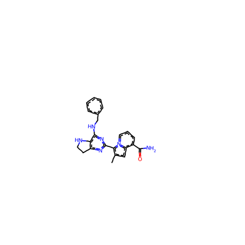 Cc1cc2c(C(N)=O)cccn2c1-c1nc2c(c(NCc3ccccc3)n1)NCC2